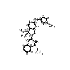 CC[C@@H](NC(=O)N1Cc2nc(Nc3ccn(C)n3)ncc2C1(C)C)c1ccccc1